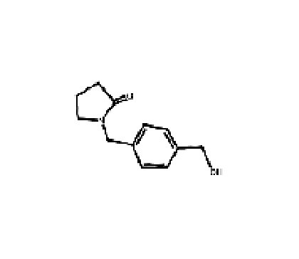 O=C1CCCN1Cc1ccc(CO)cc1